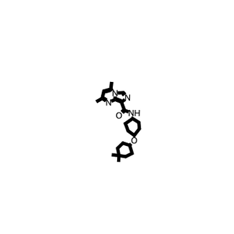 Cc1cc(C)n2cnc(C(=O)N[C@H]3CC[C@H](OC4CCC(C)(C)CC4)CC3)c2n1